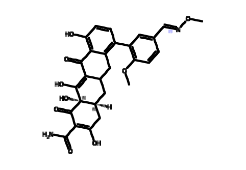 CO/N=C/c1ccc(OC)c(-c2ccc(O)c3c2CC2C[C@H]4CC(O)=C(C(N)=O)C(=O)[C@@]4(O)C(O)=C2C3=O)c1